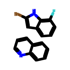 Fc1cccc2cc(Br)[nH]c12.c1ccc2ncccc2c1